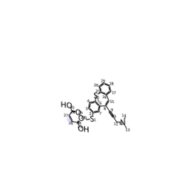 CSc1ccc2c(c1)C(C#CCN(C)C)=Cc1ccccc1S2.O=C(O)/C=C\C(=O)O